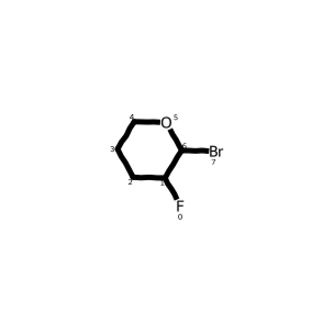 FC1CCCOC1Br